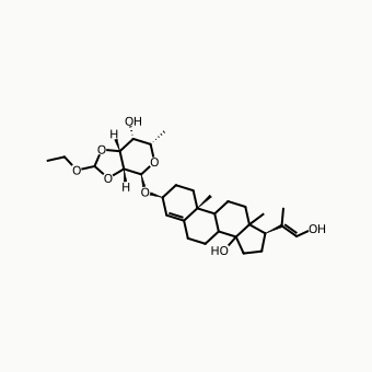 CCOC1O[C@@H]2[C@H](O)[C@H](C)O[C@@H](O[C@@H]3C=C4CCC5C(CCC6(C)[C@@H](/C(C)=C/O)CCC56O)[C@@]4(C)CC3)[C@@H]2O1